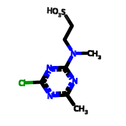 Cc1nc(Cl)nc(N(C)CCS(=O)(=O)O)n1